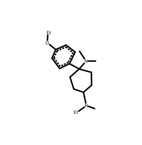 CCOc1ccc(C2(N(C)C)CCC(N(C)CC)CC2)cc1